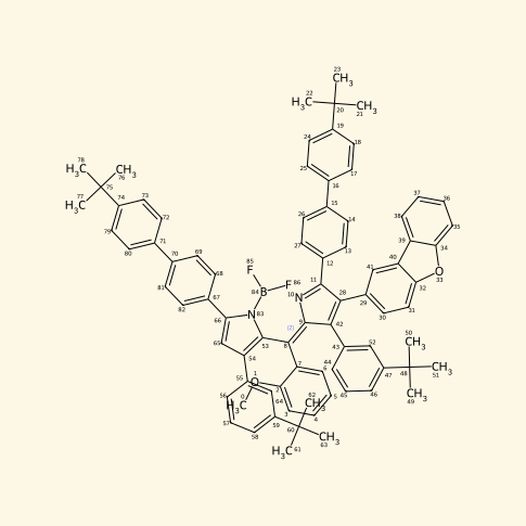 COc1ccccc1/C(=C1/N=C(c2ccc(-c3ccc(C(C)(C)C)cc3)cc2)C(c2ccc3oc4ccccc4c3c2)=C1c1cccc(C(C)(C)C)c1)c1c(-c2cccc(C(C)(C)C)c2)cc(-c2ccc(-c3ccc(C(C)(C)C)cc3)cc2)n1B(F)F